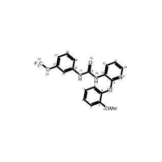 COc1ccccc1Oc1ncccc1NC(=O)Nc1cccc(OC(F)(F)F)c1